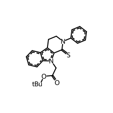 CC(C)(C)OC(=O)Cn1c2c(c3ccccc31)CCN(c1ccccc1)C2=S